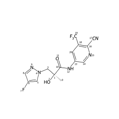 C[C@](O)(Cn1cc(F)cn1)C(=O)Nc1cnc(C#N)c(C(F)(F)F)c1